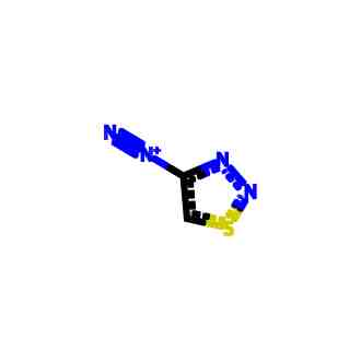 N#[N+]c1csnn1